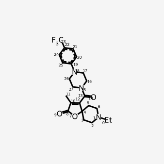 CCN1CCC2(CC1)OC(=O)C(C)=C2C(=O)N1CCN(c2ccc(C(F)(F)F)cc2)CC1